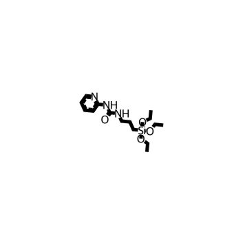 CCO[Si](CCCNC(=O)Nc1ccccn1)(OCC)OCC